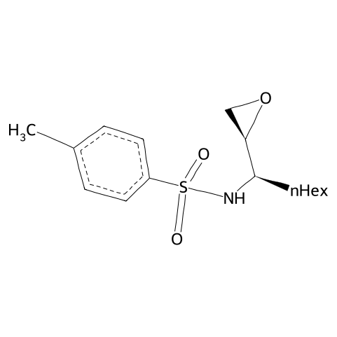 CCCCCC[C@@H](NS(=O)(=O)c1ccc(C)cc1)[C@H]1CO1